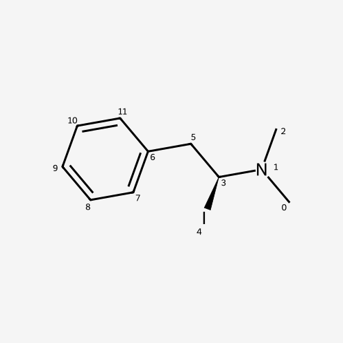 CN(C)[C@@H](I)Cc1ccccc1